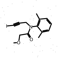 COCC(=O)N(CC#CI)c1c(C)cccc1C